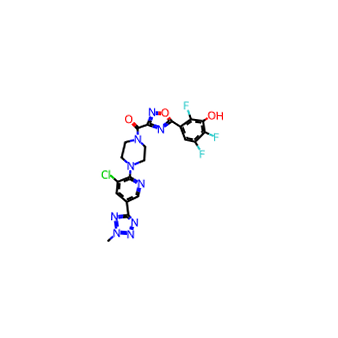 Cn1nnc(-c2cnc(N3CCN(C(=O)c4noc(-c5cc(F)c(F)c(O)c5F)n4)CC3)c(Cl)c2)n1